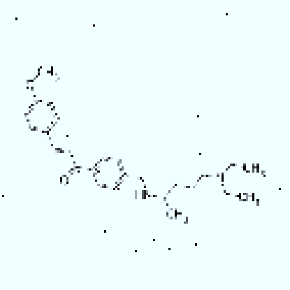 CCN(CC)CCCC(C)NCc1ccc(C(=O)/C=C/c2ccc(OC)cc2)cc1